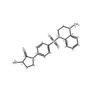 CN1CCN(S(=O)(=O)c2ccc(N3CCC(O)C3=O)cc2)c2ccccc21